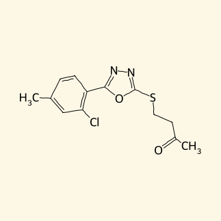 CC(=O)CCSc1nnc(-c2ccc(C)cc2Cl)o1